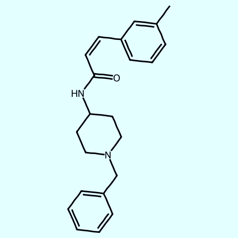 Cc1cccc(/C=C\C(=O)NC2CCN(Cc3ccccc3)CC2)c1